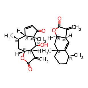 C=C1C(=O)O[C@@H]2C[C@@H](C)[C@@H]3C=CC(=O)[C@@]3(C)[C@@H](O)[C@H]12.C=C1C(=O)O[C@@H]2C[C@@]3(C)CCC[C@H](C)C3=C[C@H]12